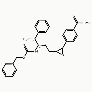 COC(=O)c1ccc(C2OC2CC[C@@H](NC(=O)OCc2ccccc2)[C@H](C)c2ccccc2)cc1